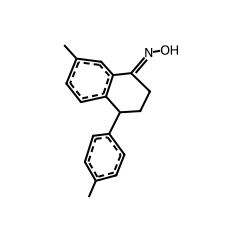 Cc1ccc(C2CCC(=NO)c3cc(C)ccc32)cc1